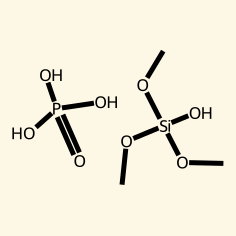 CO[Si](O)(OC)OC.O=P(O)(O)O